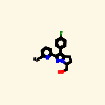 Cc1cccc(-c2nn3c(c2-c2ccc(F)cc2)CCC3CO)n1